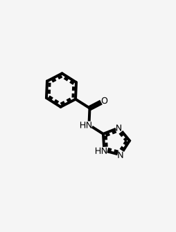 O=C(Nc1ncn[nH]1)c1ccccc1